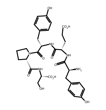 N[C@@H](Cc1ccc(O)cc1)C(=O)N[C@@H](CCC(=O)O)C(=O)N[C@@H](Cc1ccc(O)cc1)C(=O)N1CCC[C@H]1C(=O)N[C@@H](CO)C(=O)O